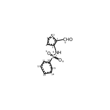 O=Cc1sccc1NS(=O)(=O)c1ccccc1